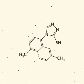 Cc1ccc2c(C)ccc(-n3cnnc3S)c2c1